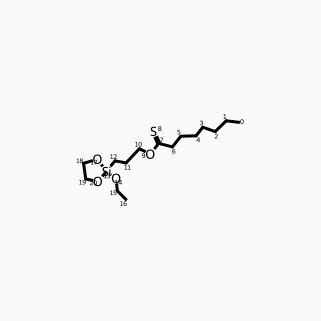 CCCCCCCC(=S)OCCC[Si]1(OCC)OCCO1